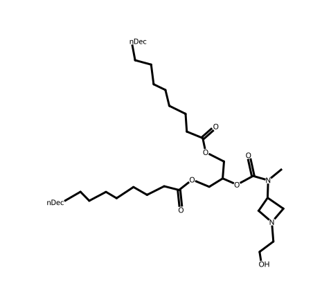 CCCCCCCCCCCCCCCCCC(=O)OCC(COC(=O)CCCCCCCCCCCCCCCCC)OC(=O)N(C)C1CN(CCO)C1